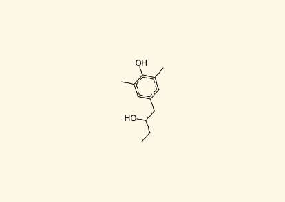 CCC(O)Cc1cc(C)c(O)c(C)c1